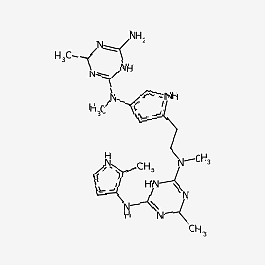 Cc1[nH]ccc1NC1=NC(C)N=C(N(C)CCc2cc(N(C)C3=NC(C)N=C(N)N3)c[nH]2)N1